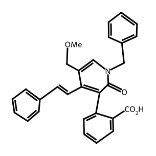 COCc1cn(Cc2ccccc2)c(=O)c(-c2ccccc2C(=O)O)c1/C=C/c1ccccc1